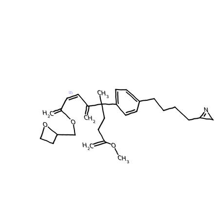 C=C(/C=C\C(=C)C(C)(CCC(=C)OC)c1ccc(CCCCC2=NC2)cc1)OCC1CCO1